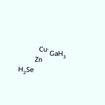 [Cu].[GaH3].[SeH2].[Zn]